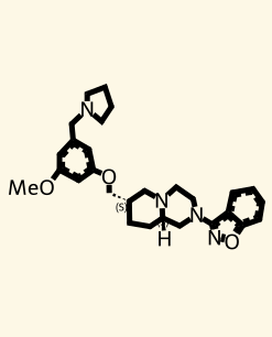 COc1cc(CN2CCCC2)cc(OC[C@H]2CC[C@H]3CN(c4noc5ccccc45)CCN3C2)c1